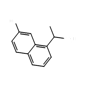 CC(C(=O)O)c1cccc2ccc(O)cc12